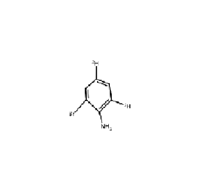 [2H]c1cc([2H])c(N)c(Br)c1